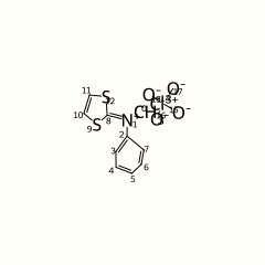 C[N+](c1ccccc1)=c1sccs1.[O-][Cl+3]([O-])([O-])[O-]